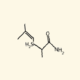 CC(C)=C[SiH2]C(C)C(N)=O